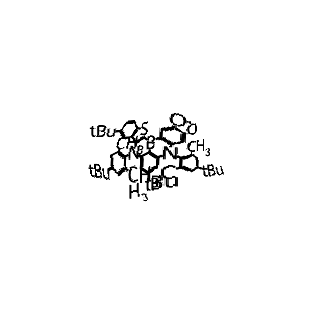 Cc1cc(C(C)(C)C)cc(C)c1N1c2cc3c(cc2B2c4sc5ccc(C(C)(C)C)cc5c4N(c4c(C)cc(C(C)(C)C)cc4C)c4cc(C(C)(C)C)cc1c42)OCO3